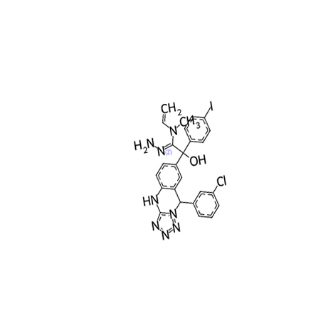 C=CN(C)/C(=N\N)C(O)(c1ccc(I)cc1)c1ccc2c(c1)C(c1cccc(Cl)c1)n1nnnc1N2